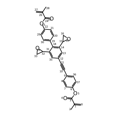 C=C(C)C(=O)Oc1ccc(C#Cc2cc(C3CO3)c(-c3ccc(OC(=O)C(=C)C)cc3)c(C3CO3)c2)cc1